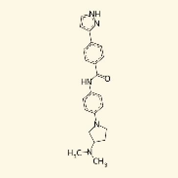 CN(C)C1CCN(c2ccc(NC(=O)c3ccc(-c4cc[nH]n4)cc3)cc2)C1